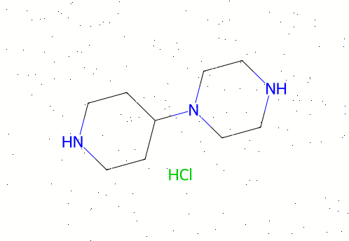 C1CC(N2CCNCC2)CCN1.Cl